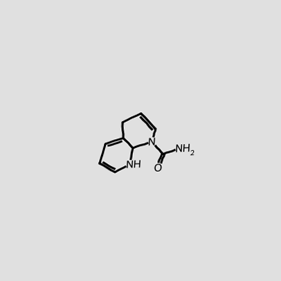 NC(=O)N1C=CCC2=CC=CNC21